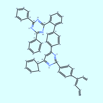 C=C/C=C(\C=C)c1ccc(-c2nc(-c3ccc(-c4ccccc4-c4nc(-c5ccccc5)nc(-c5ccccc5)n4)cc3)cc(C3C=CC=CC3)n2)cc1